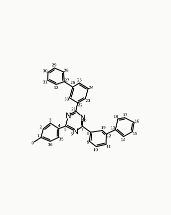 Cc1ccc(-c2nc(-c3cccc(-c4ccccc4)c3)nc(-c3cccc(-c4ccccc4)c3)n2)cc1